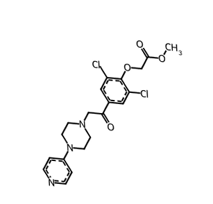 COC(=O)COc1c(Cl)cc(C(=O)CN2CCN(c3ccncc3)CC2)cc1Cl